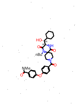 CCCCN1C(=O)[C@@H]([C@H](O)C2CCCCC2)NC(=O)C12CCN(C(=O)c1ccc(Oc3ccc(C(=O)NC)cc3)cc1)CC2